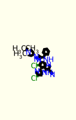 CC(C)(C)N1CCC(n2cc([C@@H](Nc3cc(Cl)cc4c(Nc5cncc(Cl)c5)c(C#N)cnc34)c3ccccc3)nn2)CC1